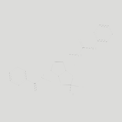 CC1(C)O[C@@H]2[C@@H](CNC(=O)Nc3ccccc3)OC[C@]2(CNC(=O)c2ccccc2)O1